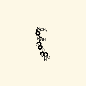 Cn1ncc2ccc(-c3c[nH]c(C4COc5ccc(Oc6ccnc7c6CCC(=O)N7)cc5C4)n3)cc21